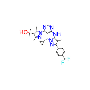 Cc1nn(-c2cc(Nc3c(C)c(-c4ccc(C(F)F)cc4)nn3CC3CC3)ncn2)c(C)c1C(C)(C)O